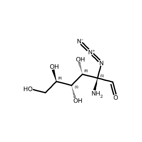 [N-]=[N+]=N[C@](N)(C=O)[C@@H](O)[C@H](O)[C@H](O)CO